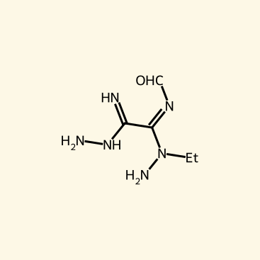 CCN(N)C(=NC=O)C(=N)NN